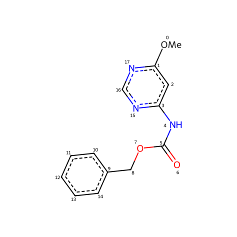 COc1cc(NC(=O)OCc2ccccc2)ncn1